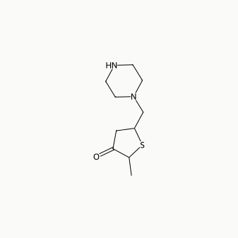 CC1SC(CN2CCNCC2)CC1=O